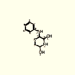 OC1CSC(Nc2ccccc2)C(O)N1